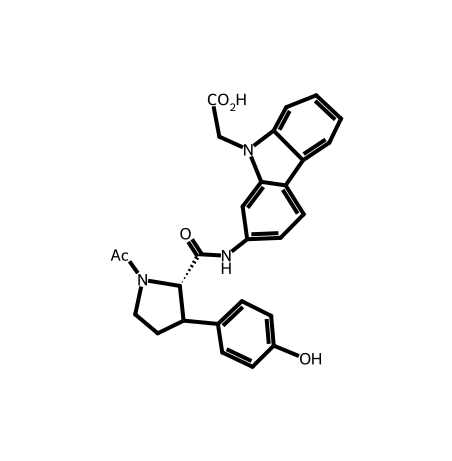 CC(=O)N1CCC(c2ccc(O)cc2)[C@H]1C(=O)Nc1ccc2c3ccccc3n(CC(=O)O)c2c1